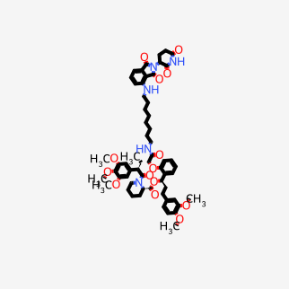 CC[C@H](C(=O)N1CCCC[C@H]1C(=O)O[C@H](CCc1ccc(OC)c(OC)c1)c1ccccc1OCC(=O)NCCCCCCCCNc1cccc2c1C(=O)N(C1CCC(=O)NC1=O)C2=O)c1cc(OC)c(OC)c(OC)c1